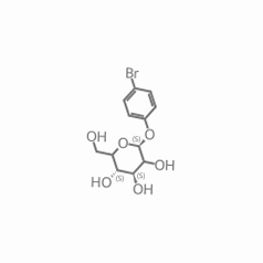 OCC1O[C@@H](Oc2ccc(Br)cc2)C(O)[C@@H](O)[C@@H]1O